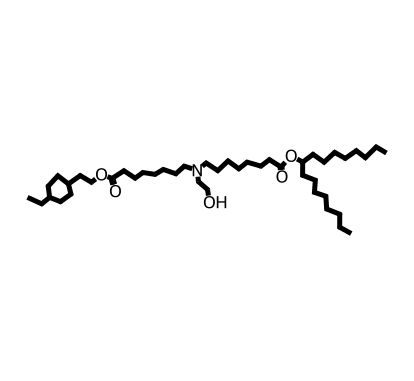 CCCCCCCCC(CCCCCCCC)OC(=O)CCCCCCCN(CCO)CCCCCCCC(=O)OCCC1CCC(CC)CC1